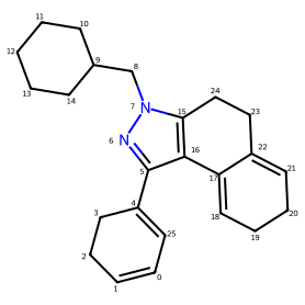 C1=CCCC(c2nn(CC3CCCCC3)c3c2C2=CCCC=C2CC3)=C1